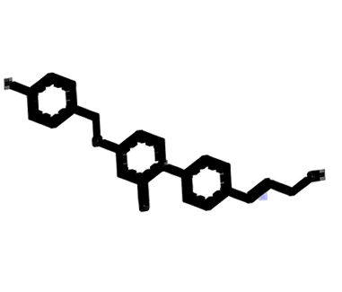 O=c1cc(OCc2ccc(F)cc2)ccn1-c1ccc(/C=C/CO)cc1